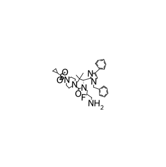 CC(C)(C)[C@H](c1nc(-c2ccccc2)cn1Cc1ccccc1)N(C[C@H](F)CN)C(=O)N1CCN(S(=O)(=O)C2CC2)CC1